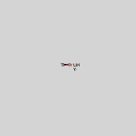 [Br][Tl].[LiH].[Y]